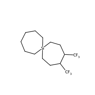 FC(F)(F)C1CC[Si]2(CCCCCC2)CCC1C(F)(F)F